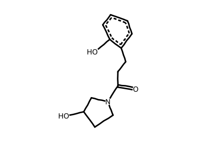 O=C(CCc1ccccc1O)N1CCC(O)C1